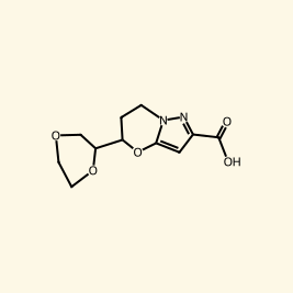 O=C(O)c1cc2n(n1)CCC(C1COCCO1)O2